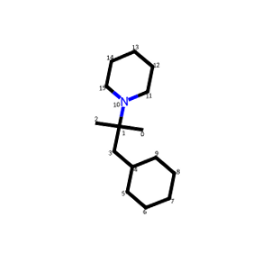 CC(C)(CC1CCCCC1)N1CCCCC1